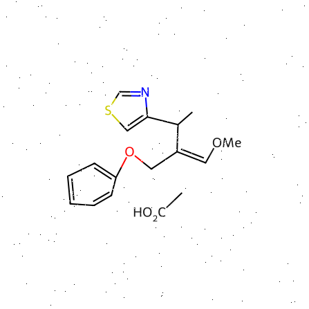 CC(=O)O.COC=C(COc1ccccc1)C(C)c1cscn1